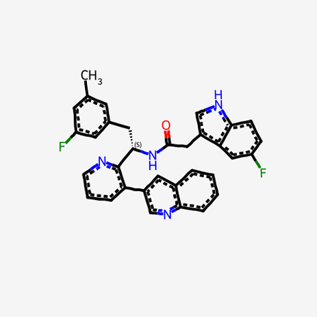 Cc1cc(F)cc(C[C@H](NC(=O)Cc2c[nH]c3ccc(F)cc23)c2ncccc2-c2cnc3ccccc3c2)c1